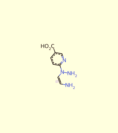 N/C=C\N(N)c1ccc(C(=O)O)cn1